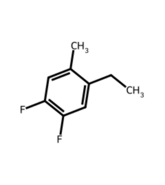 CCc1cc(F)c(F)cc1C